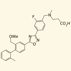 COCc1cc(-c2nc(-c3ccc(CN(C)CCC(=O)O)c(F)c3)no2)ccc1-c1ccccc1C